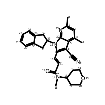 Cc1cc(C)c2c(C#N)c(C=CC(=O)N(C)C3CCOCC3)n(C3Cc4ccccc4C3)c2n1